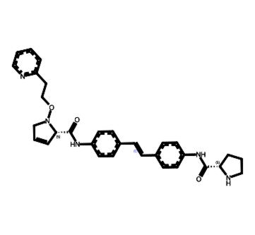 O=C(Nc1ccc(/C=C/c2ccc(NC(=O)[C@@H]3C=CCN3OCCc3ccccn3)cc2)cc1)[C@@H]1CCCN1